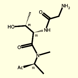 CC(=O)[C@H](C)N(C)C(=O)[C@@H](NC(=O)CN)[C@@H](C)O